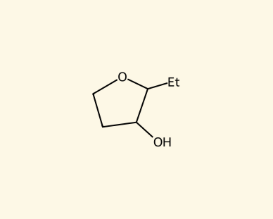 CCC1OCCC1O